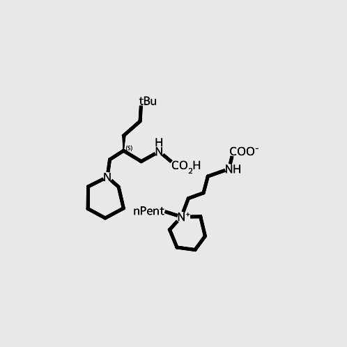 CC(C)(C)CC[C@@H](CNC(=O)O)CN1CCCCC1.CCCCC[N+]1(CCCNC(=O)[O-])CCCCC1